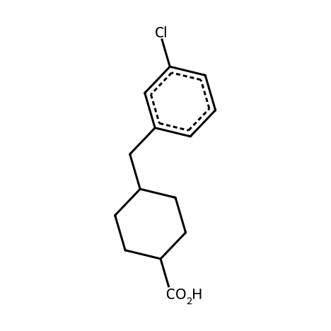 O=C(O)C1CCC(Cc2cccc(Cl)c2)CC1